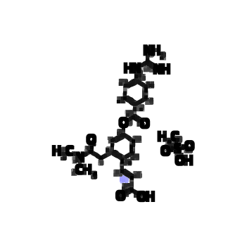 CN(C)C(=O)Cc1cc(OC(=O)c2ccc(NC(=N)N)cc2)ccc1/C=C/C(=O)O.CS(=O)(=O)O